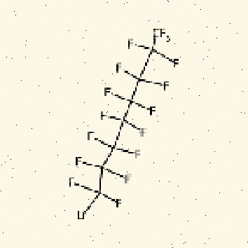 [Li][C](F)(F)C(F)(F)C(F)(F)C(F)(F)C(F)(F)C(F)(F)C(F)(F)C(F)(F)F